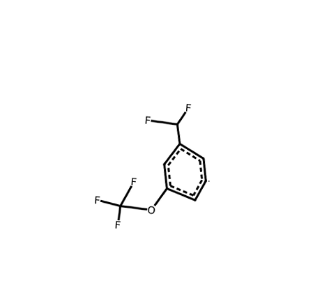 FC(F)c1c[c]cc(OC(F)(F)F)c1